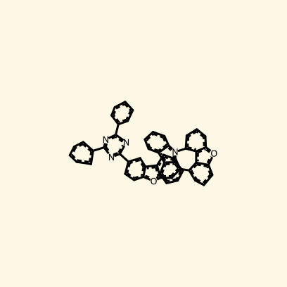 c1ccc(-c2nc(-c3ccccc3)nc(-c3ccc4oc5cc(-c6cccc7oc8cccc(-n9c%10ccccc%10c%10ccccc%109)c8c67)ccc5c4c3)n2)cc1